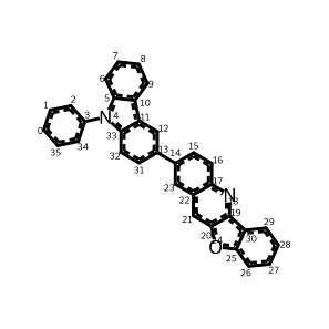 c1ccc(-n2c3ccccc3c3cc(-c4ccc5nc6c(cc5c4)oc4ccccc46)ccc32)cc1